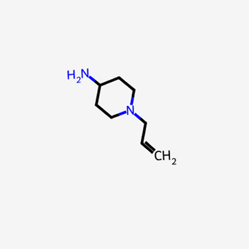 C=CCN1CCC(N)CC1